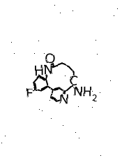 N[C@H]1CCCCC(=O)Nc2ccc(F)cc2-c2ccnc1c2